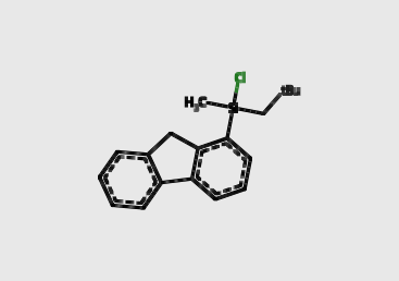 CC(C)(C)C[Si](C)(Cl)c1cccc2c1Cc1ccccc1-2